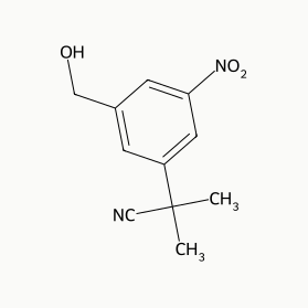 CC(C)(C#N)c1cc(CO)cc([N+](=O)[O-])c1